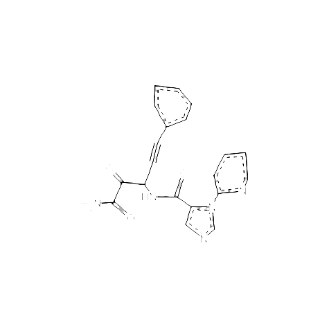 NC(=O)C(=O)C(C#Cc1ccccc1)NC(=O)c1cncn1-c1ccccn1